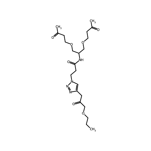 CCCOCC(=O)Cc1cn(CCC(=O)NC(COCCC(C)=O)COCCC(C)=O)nn1